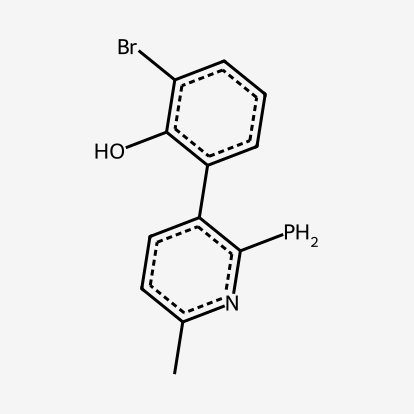 Cc1ccc(-c2cccc(Br)c2O)c(P)n1